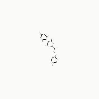 CCc1cc(C)cc(CC)c1C1=C(O)CC(CCSc2ccc(C)cc2)CC1=O